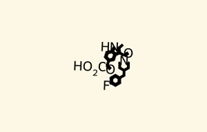 Cc1[nH]c2ccc(C(=O)C(=O)O)cc2c1C(=O)N1CCC(Cc2ccc(F)cc2)CC1